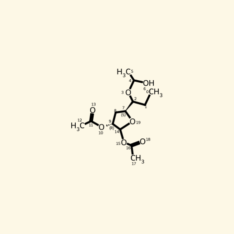 CCC(OC(C)O)[C@@H]1C[C@@H](OC(C)=O)C(OC(C)=O)O1